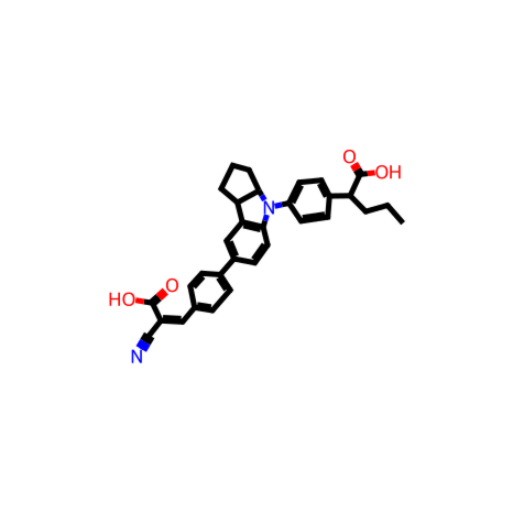 CCCC(C(=O)O)c1ccc(N2c3ccc(-c4ccc(C=C(C#N)C(=O)O)cc4)cc3C3CCCC32)cc1